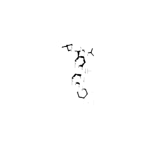 CC(C)n1nc(N2CC(F)(CO)C2)c2cnc(Nc3ccnc(N4CC[C@@H](O)[C@@H](F)C4)n3)cc21